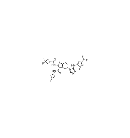 Cn1nc(C(F)F)cc1Nc1nncn1[C@H]1CCc2sc(NC(=O)C3CC(F)(F)C3)c(C(=O)NC3CC(F)C3)c2C1